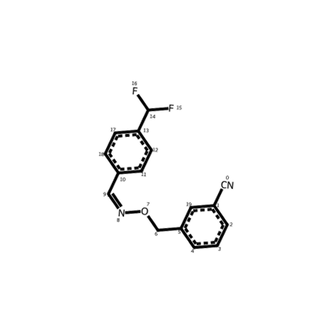 N#Cc1cccc(CO/N=[C]\c2ccc(C(F)F)cc2)c1